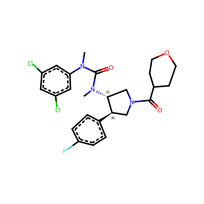 CN(C(=O)N(C)[C@@H]1CN(C(=O)C2CCOCC2)C[C@H]1c1ccc(F)cc1)c1cc(Cl)cc(Cl)c1